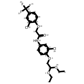 CCOC(COc1ccc(NC(=O)COc2ccc(C(F)(F)F)cc2Cl)cc1Cl)OCC